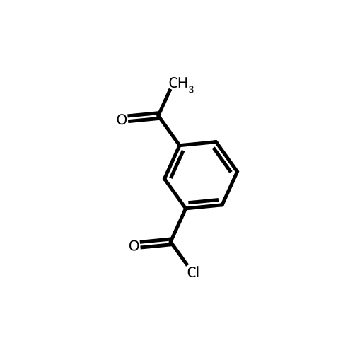 CC(=O)c1cccc(C(=O)Cl)c1